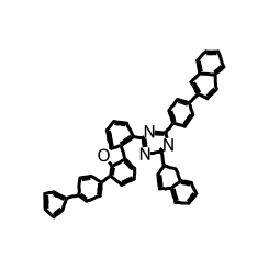 C1=CC(c2nc(-c3ccc(-c4ccc5ccccc5c4)cc3)nc(-c3cccc4oc5c(-c6ccc(-c7ccccc7)cc6)cccc5c34)n2)Cc2ccccc21